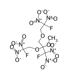 COC(COCC(F)([N+](=O)[O-])[N+](=O)[O-])(OCC(F)([N+](=O)[O-])[N+](=O)[O-])C(F)([N+](=O)[O-])[N+](=O)[O-]